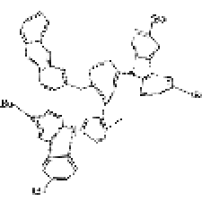 Cc1ccc(-n2c3ccc(C(C)(C)C)cc3c3cc(C(C)(C)C)ccc32)cc1-c1cc(-n2c3ccc(C(C)(C)C)cc3c3cc(C(C)(C)C)ccc32)ccc1Cc1ccc2cc3ccccc3cc2c1